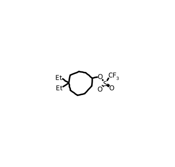 CCC1(CC)CCCCC(OS(=O)(=O)C(F)(F)F)CCC1